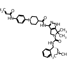 C=CC(=O)Nc1ccc(N2CCC(C(=O)Nc3n[nH]c4c3CN(C(=O)N[C@H](CN(C)C)c3ccccc3)C4(C)C)CC2)cc1